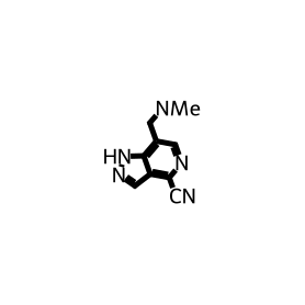 CNCc1cnc(C#N)c2cn[nH]c12